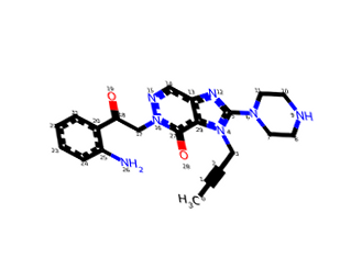 CC#CCn1c(N2CCNCC2)nc2cnn(CC(=O)c3ccccc3N)c(=O)c21